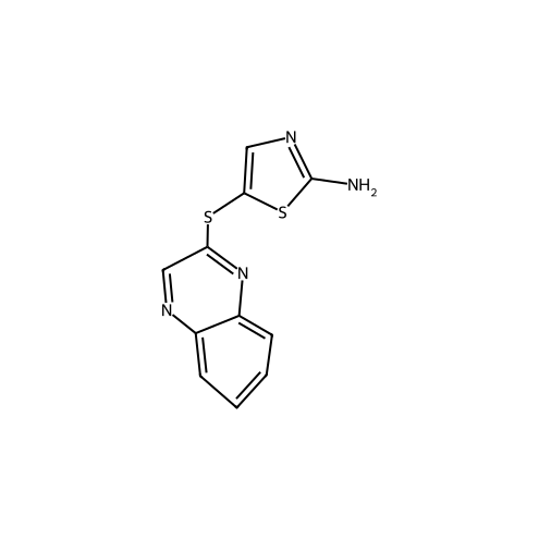 Nc1ncc(Sc2cnc3ccccc3n2)s1